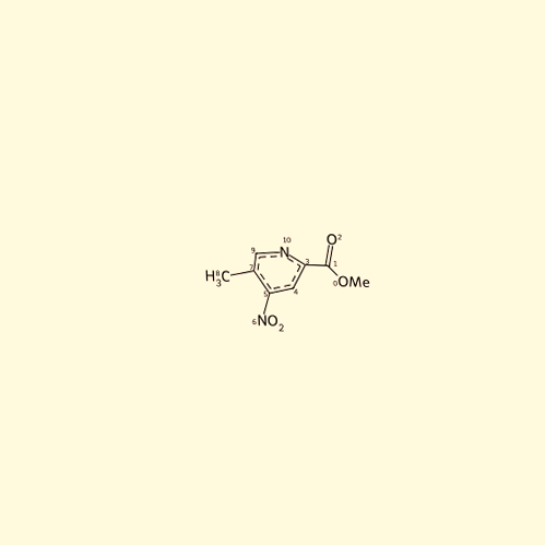 COC(=O)c1cc([N+](=O)[O-])c(C)cn1